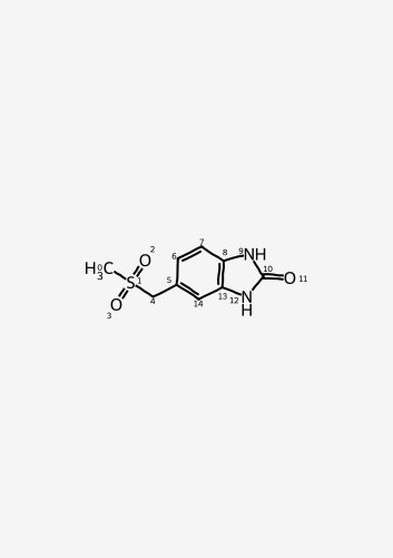 CS(=O)(=O)Cc1ccc2[nH]c(=O)[nH]c2c1